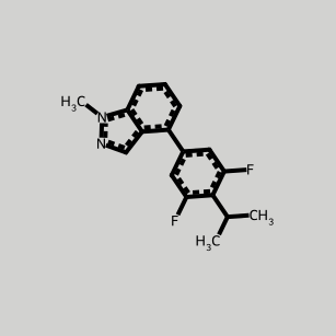 CC(C)c1c(F)cc(-c2cccc3c2cnn3C)cc1F